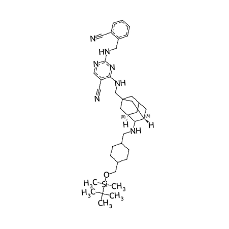 CC(C)(C)[Si](C)(C)OCC1CCC(CNC2[C@@H]3CC4C[C@H]2CC(CNc2nc(NCc5ccccc5C#N)ncc2C#N)(C4)C3)CC1